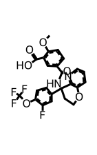 COc1ccc(C(=O)NC2(c3ccc(OC(F)(F)F)c(F)c3)CCOc3cccnc32)cc1C(=O)O